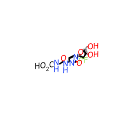 O=C(O)NCC(=O)Nc1ccn([C@@H]2O[C@H](CO)[C@@H](O)C2(F)F)c(=O)n1